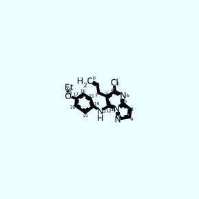 C=CCc1c(Cl)nc2ccnn2c1Nc1ccc(OCC)cc1